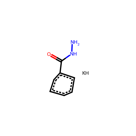 NNC(=O)c1ccccc1.[KH]